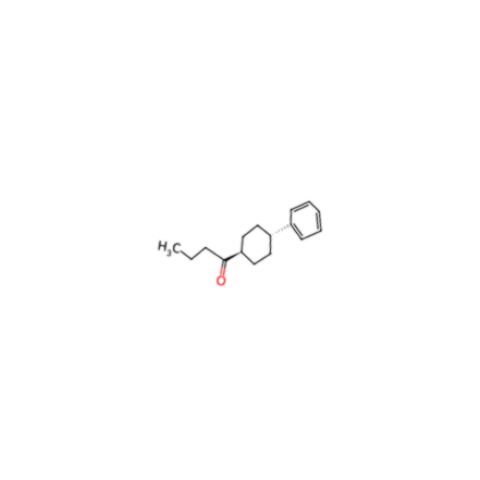 CCCC(=O)[C@H]1CC[C@H](c2ccccc2)CC1